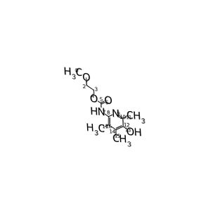 COCCOC(=O)Nc1nc(C)c(O)c(C)c1C